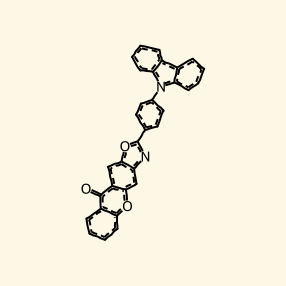 O=c1c2ccccc2oc2cc3nc(-c4ccc(-n5c6ccccc6c6ccccc65)cc4)oc3cc12